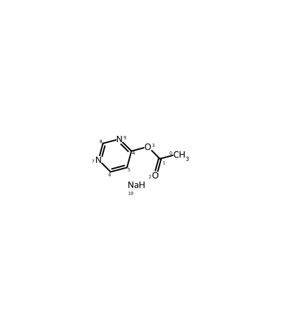 CC(=O)Oc1ccncn1.[NaH]